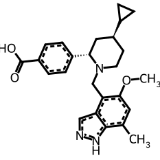 COc1cc(C)c2[nH]ncc2c1CN1CC[C@H](C2CC2)C[C@H]1c1ccc(C(=O)O)cc1